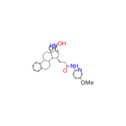 COc1ccc(NC(=O)CC[C@@H]2CC(NO)[C@@]3(C)CCC4c5ccccc5CCC4C23)nc1